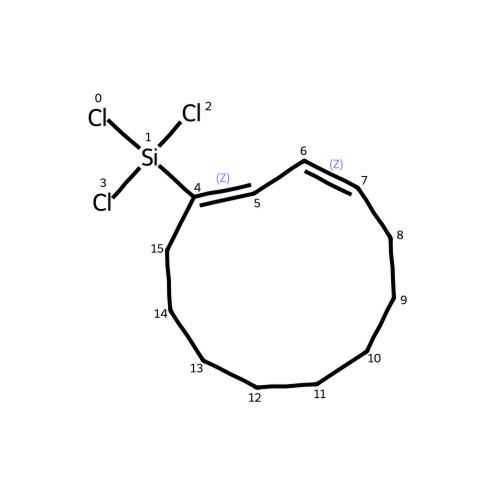 Cl[Si](Cl)(Cl)/C1=C\C=C/CCCCCCCC1